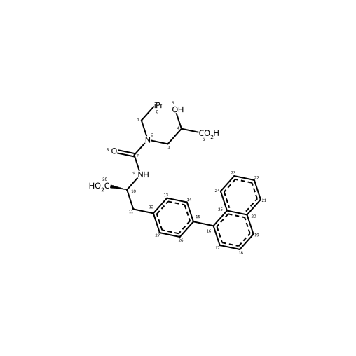 CC(C)CN(CC(O)C(=O)O)C(=O)N[C@@H](Cc1ccc(-c2cccc3ccccc23)cc1)C(=O)O